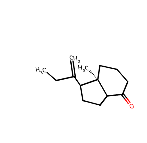 C=C(CC)C1CCC2C(=O)CCC[C@]12C